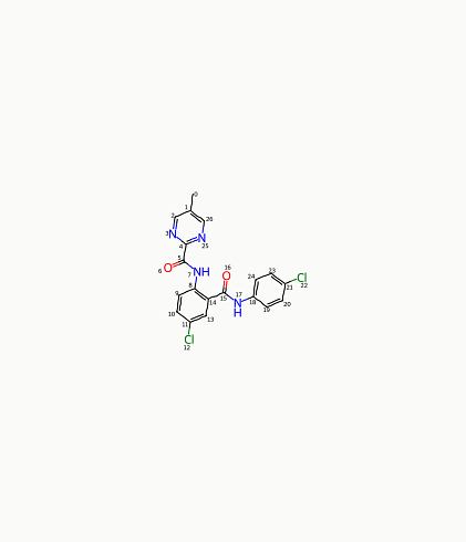 Cc1cnc(C(=O)Nc2ccc(Cl)cc2C(=O)Nc2ccc(Cl)cc2)nc1